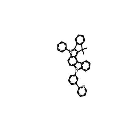 CC1(C)c2ccccc2-c2c1c1c3c4ccccc4n(-c4cccc(-c5ccccn5)c4)c3ccc1n2-c1ccccc1